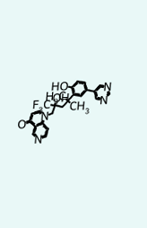 CC(C)(CC(O)(Cn1ccc(=O)c2cnccc21)C(F)(F)F)c1cc(-c2cncnc2)ccc1O